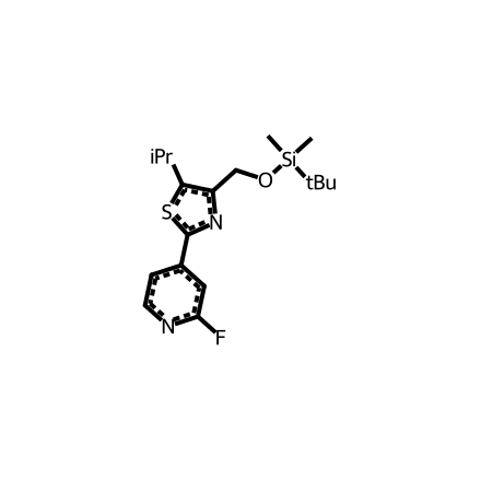 CC(C)c1sc(-c2ccnc(F)c2)nc1CO[Si](C)(C)C(C)(C)C